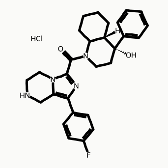 Cl.O=C(c1nc(-c2ccc(F)cc2)c2n1CCNC2)N1CC[C@](O)(c2ccccc2)[C@H]2CCCCC21